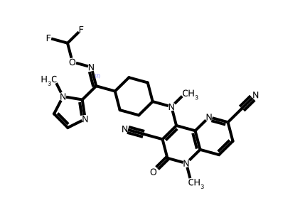 CN(c1c(C#N)c(=O)n(C)c2ccc(C#N)nc12)C1CCC(/C(=N/OC(F)F)c2nccn2C)CC1